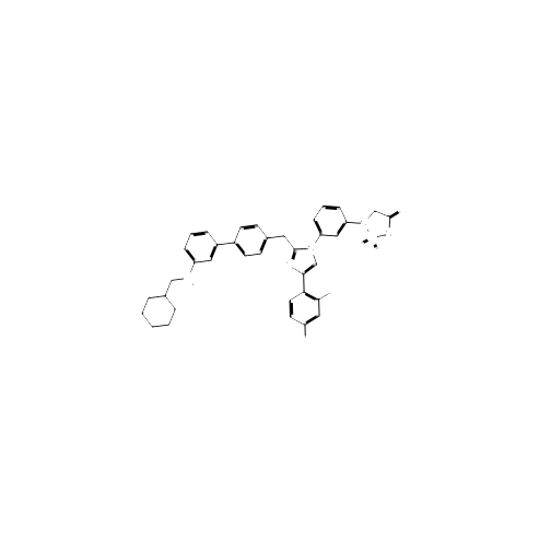 O=C1CN(c2cccc(-n3cc(-c4ccc(Cl)cc4Cl)nc3Cc3ccc(-c4cccc([S+]([O-])CC5CCCCC5)c4)cc3)c2)S(=O)(=O)N1